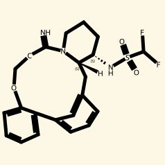 N=C1CCOc2ccccc2-c2cccc(c2)C[C@H]2[C@@H](NS(=O)(=O)C(F)F)CCCN12